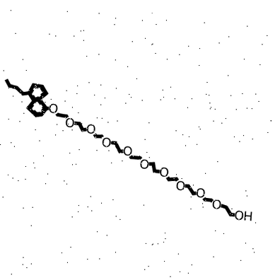 CCCCc1cccc2c(OCCOCCOCCOCCOCCOCCOCCOCCOCCOCCO)cccc12